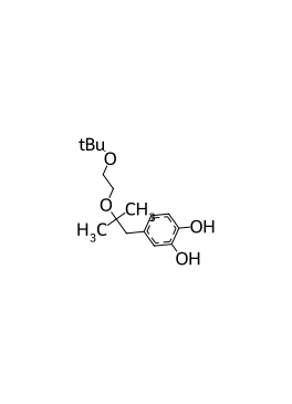 CC(C)(C)OCCOC(C)(C)Cc1ccc(O)c(O)c1